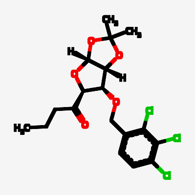 CCCC(=O)[C@H]1O[C@@H]2OC(C)(C)O[C@@H]2[C@H]1OCc1ccc(Cl)c(Cl)c1Cl